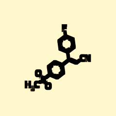 CS(=O)(=O)c1ccc(C(=CC#N)c2ccc(F)cc2)cc1